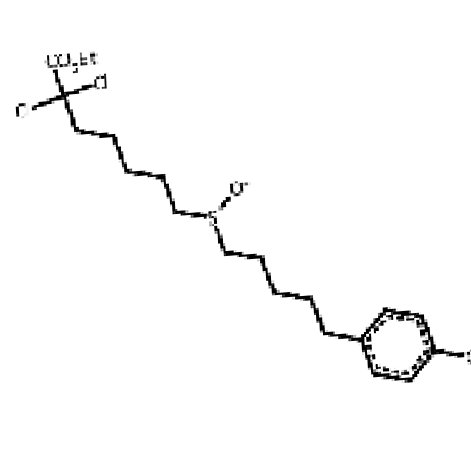 CCOC(=O)C(Cl)(Cl)CCCCC[S+]([O-])CCCCCc1ccc(Cl)cc1